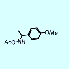 COc1ccc(C(C)NOC(C)=O)cc1